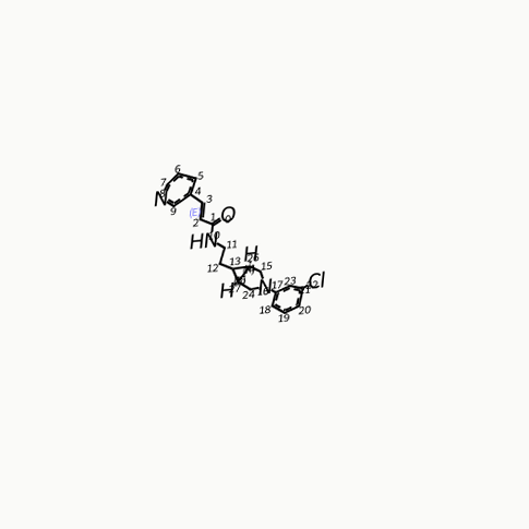 O=C(/C=C/c1cccnc1)NCCC1[C@H]2CN(c3cccc(Cl)c3)C[C@@H]12